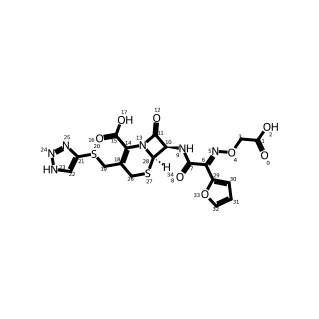 O=C(O)CON=C(C(=O)N[C@@H]1C(=O)N2C(C(=O)O)=C(CSc3c[nH]nn3)CS[C@H]12)c1ccco1